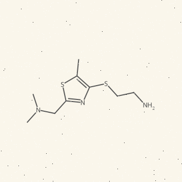 Cc1sc(CN(C)C)nc1SCCN